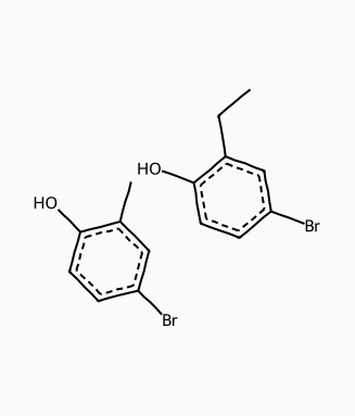 CCc1cc(Br)ccc1O.Cc1cc(Br)ccc1O